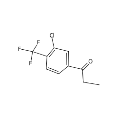 CCC(=O)c1ccc(C(F)(F)F)c(Cl)c1